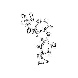 C[C@H]1Oc2cc(Oc3ccc(C(F)(F)F)cc3Cl)ccc2NC1=O